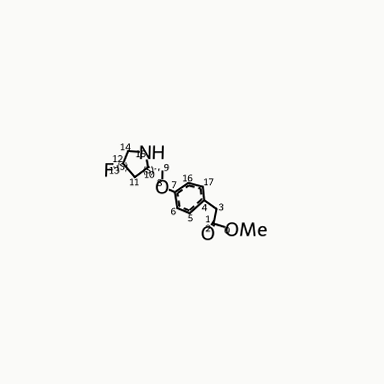 COC(=O)Cc1ccc(OC[C@@H]2C[C@H](F)CN2)cc1